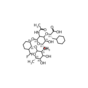 CC(=O)NC1C(O[C@@H](CC2CCCCC2)C(=O)O)[C@@H](O)[C@H](C)O[C@H]1O[C@@H]1CCCC(C(F)F)[C@H]1OC1O[C@@H](C)[C@H](O)C(O)[C@@H]1O